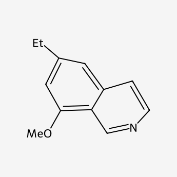 CCc1cc(OC)c2cnccc2c1